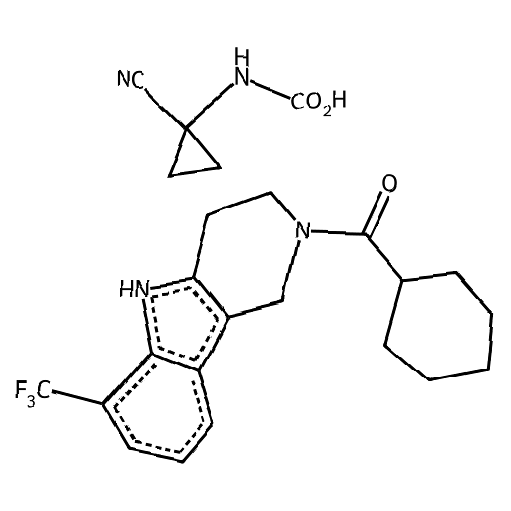 N#CC1(NC(=O)O)CC1.O=C(C1CCCCC1)N1CCc2[nH]c3c(C(F)(F)F)cccc3c2C1